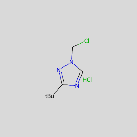 CC(C)(C)c1ncn(CCl)n1.Cl